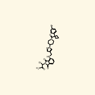 CCC(C(N)=O)N1C(=O)c2cccc(NCc3cnn(C4CCN(C(=O)C5(c6ccc(Br)cc6)CCC5)CC4)c3)c2C1=O